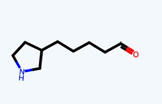 O=[C]CCCCC1CCNC1